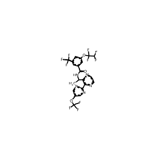 CC(NC(=O)c1cc(OC(F)(F)C(F)F)cc(C(F)(F)F)c1)c1nccnc1-c1ncc(OC(F)(F)F)cn1